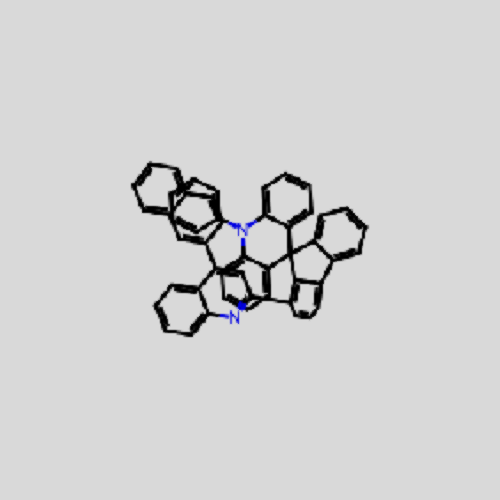 c1ccc(N2c3ccccc3C3(c4ccccc4-c4cccc(-c5cc(-c6ccc7ccccc7c6)c6ccccc6n5)c43)c3ccccc32)cc1